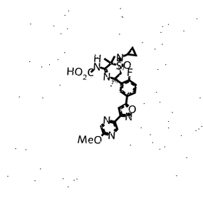 COc1cnc(-c2cc(-c3ccc(F)c([C@]4(C)C[S@](=O)(=NC5CC5)C(C)(C)C(NC(=O)O)=N4)c3)on2)cn1